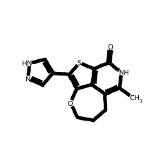 Cc1[nH]c(=O)c2sc(-c3cn[nH]c3)c3c2c1CCCO3